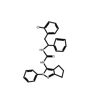 O=C(Nc1c2c(nn1-c1ccccc1)CCC2)NC(Cc1ccccc1Cl)c1ccccc1